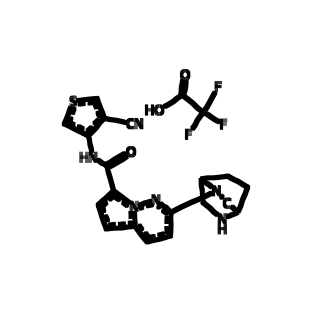 N#Cc1cscc1NC(=O)c1ccc2ccc(N3CC4CCC3CN4)nn12.O=C(O)C(F)(F)F